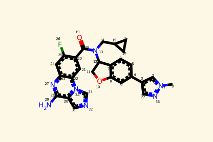 Cn1cc(-c2ccc3c(c2)OCC3N(CC2CC2)C(=O)c2cc3c(cc2F)nc(N)c2cncn23)cn1